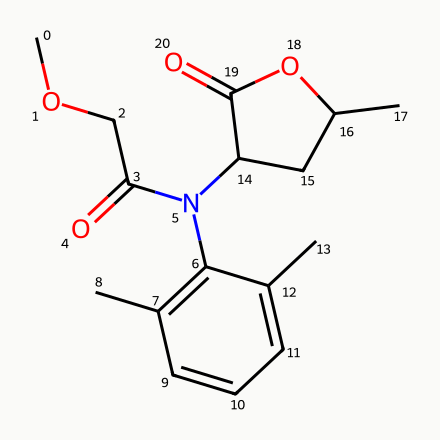 COCC(=O)N(c1c(C)cccc1C)C1CC(C)OC1=O